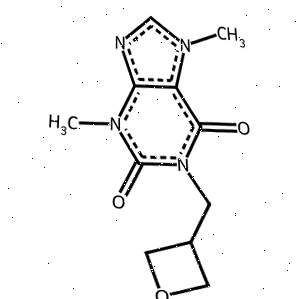 Cn1cnc2c1c(=O)n(CC1COC1)c(=O)n2C